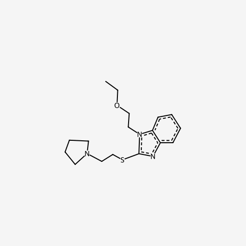 CCOCCn1c(SCCN2CCCC2)nc2ccccc21